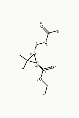 CCOC(=O)[C@@H]1[C@@H](COC(C)=O)C1(C)C